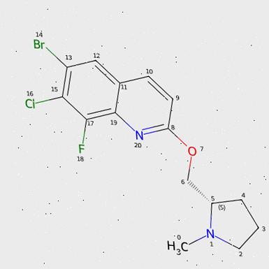 CN1CCC[C@H]1COc1ccc2cc(Br)c(Cl)c(F)c2n1